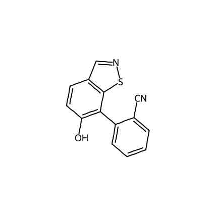 N#Cc1ccccc1-c1c(O)ccc2cnsc12